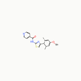 CC1=CC(OC(C)C)=CC(C)C1c1csc(NC(=O)c2ccncc2)n1